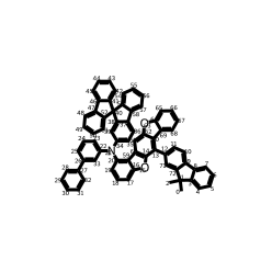 CC1(C)c2ccccc2-c2ccc(-c3c4oc5cccc(N(c6cccc(-c7ccccc7)c6)c6ccc7c(c6)C6(c8ccccc8-c8ccccc86)c6ccccc6-7)c5c4cc4oc5ccccc5c34)cc21